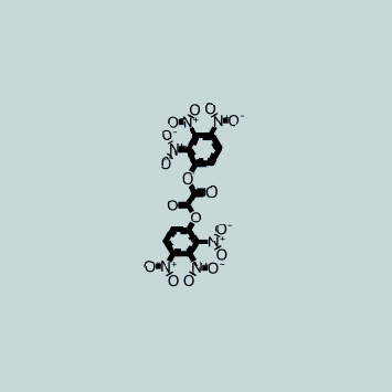 O=C(Oc1ccc([N+](=O)[O-])c([N+](=O)[O-])c1[N+](=O)[O-])C(=O)Oc1ccc([N+](=O)[O-])c([N+](=O)[O-])c1[N+](=O)[O-]